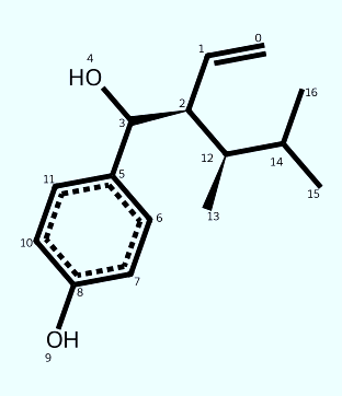 C=C[C@H](C(O)c1ccc(O)cc1)[C@H](C)C(C)C